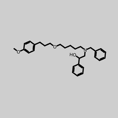 COc1ccc(CCCOCCCCCN(Cc2ccccc2)CC(O)c2ccccc2)cc1